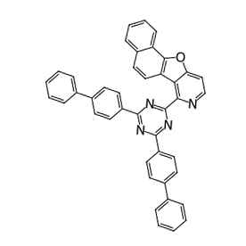 c1ccc(-c2ccc(-c3nc(-c4ccc(-c5ccccc5)cc4)nc(-c4nccc5oc6c7ccccc7ccc6c45)n3)cc2)cc1